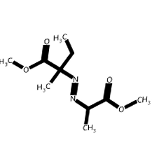 CCC(C)(N=NC(C)C(=O)OC)C(=O)OC